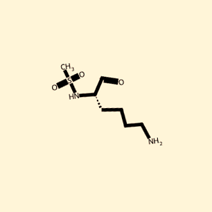 CS(=O)(=O)N[C@H]([C]=O)CCCCN